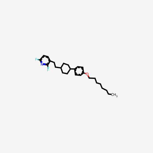 CCCCCCCCOc1ccc(C2CCC(CCc3ccc(F)nc3F)CC2)cc1